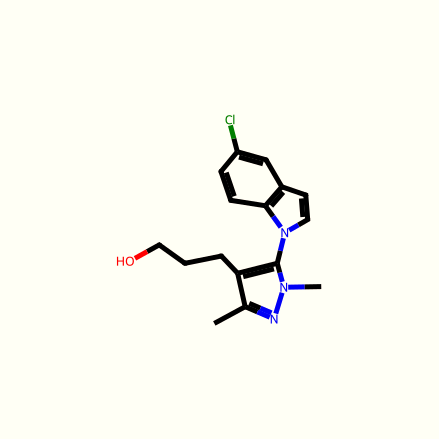 Cc1nn(C)c(-n2ccc3cc(Cl)ccc32)c1CCCO